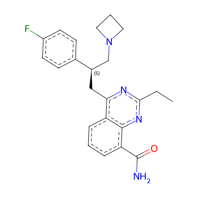 CCc1nc(C[C@H](CN2CCC2)c2ccc(F)cc2)c2cccc(C(N)=O)c2n1